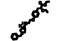 CCOC(=O)[C@H](Cc1ccc(OCCN[C@H]2C3CN(Cc4ccccc4)C[C@@H]32)cc1)OCC